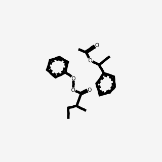 CC(=O)OC(C)c1ccccc1.CCC(C)C(=O)OOc1ccccc1